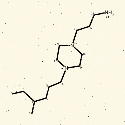 CCC(C)CCCN1CCN(CCCN)CC1